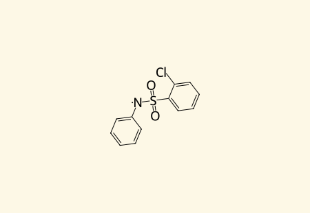 O=S(=O)([N]c1ccccc1)c1ccccc1Cl